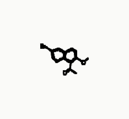 COc1ccc2cc(Br)ccc2c1C(C)=O